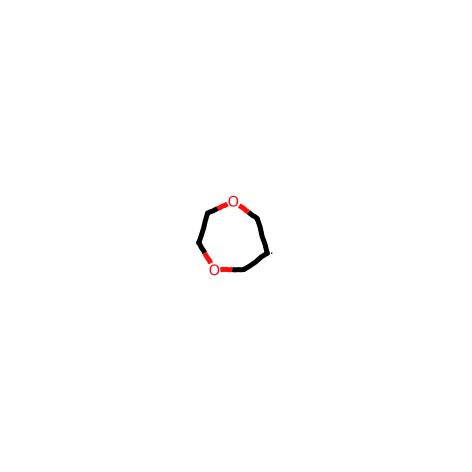 [CH]1COCCOC1